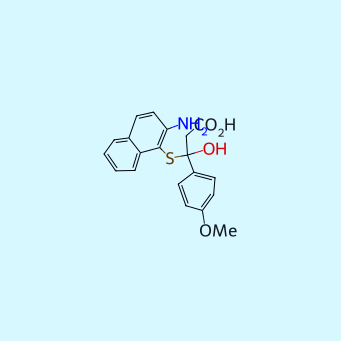 COc1ccc(C(O)(CC(=O)O)Sc2c(N)ccc3ccccc23)cc1